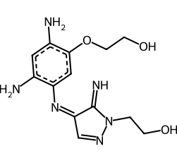 N=C1C(=Nc2cc(OCCO)c(N)cc2N)C=NN1CCO